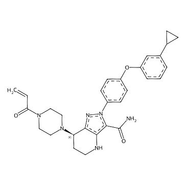 C=CC(=O)N1CCN([C@@H]2CCNc3c2nn(-c2ccc(Oc4cccc(C5CC5)c4)cc2)c3C(N)=O)CC1